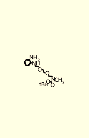 CN(CCOCCOCCNc1ccccc1N)C(=O)OC(C)(C)C